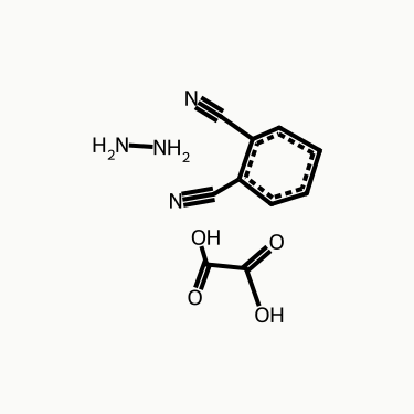 N#Cc1ccccc1C#N.NN.O=C(O)C(=O)O